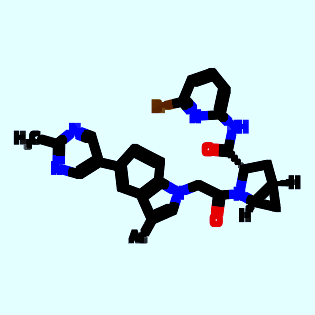 CC(=O)c1cn(CC(=O)N2[C@@H]3C[C@@H]3C[C@H]2C(=O)Nc2cccc(Br)n2)c2ccc(-c3cnc(C)nc3)cc12